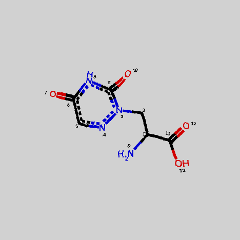 NC(Cn1ncc(=O)[nH]c1=O)C(=O)O